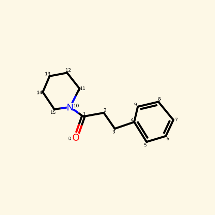 O=C(CCc1ccccc1)N1[CH]CCCC1